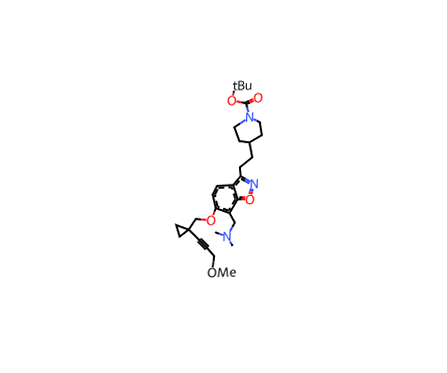 COCC#CC1(COc2ccc3c(CCC4CCN(C(=O)OC(C)(C)C)CC4)noc3c2CN(C)C)CC1